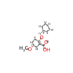 COc1ccc(OCc2ccccc2)c(C(=O)O)c1